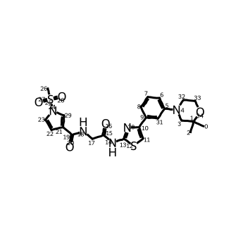 CC1(C)CN(c2cccc(-c3csc(NC(=O)CNC(=O)c4ccn(S(C)(=O)=O)c4)n3)c2)CCO1